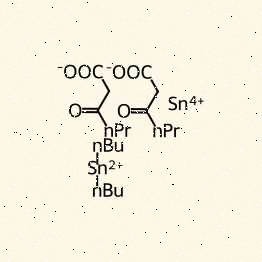 CCCC(=O)CC(=O)[O-].CCCC(=O)CC(=O)[O-].CCC[CH2][Sn+2][CH2]CCC.[Sn+4]